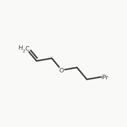 C=C[CH]OCCC(C)C